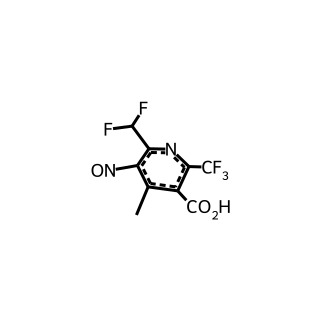 Cc1c(N=O)c(C(F)F)nc(C(F)(F)F)c1C(=O)O